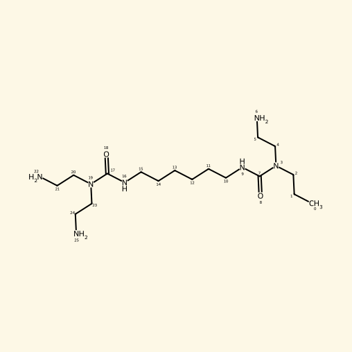 CCCN(CCN)C(=O)NCCCCCCNC(=O)N(CCN)CCN